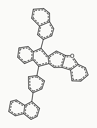 c1ccc2cc(-c3c4ccccc4c(-c4ccc(-c5cccc6ccccc56)cc4)c4cc5c(cc34)oc3ccccc35)ccc2c1